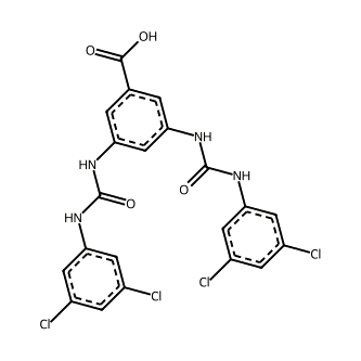 O=C(Nc1cc(Cl)cc(Cl)c1)Nc1cc(NC(=O)Nc2cc(Cl)cc(Cl)c2)cc(C(=O)O)c1